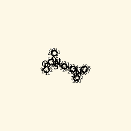 c1ccc(-c2cc3oc4ccccc4c3c3sc(-c4ccc(-c5ccc6c(c5)c5ccccc5n6-c5ccccc5)cc4)nc23)cc1